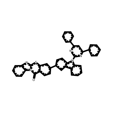 O=c1c2ccc(-c3ccc4c(c3)c3ccccc3n4-c3nc(-c4ccccc4)cc(-c4ccccc4)n3)cc2sc2nc3ccccc3n12